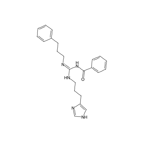 O=C(NC(=NCCCc1ccccc1)NCCCc1c[nH]cn1)c1ccccc1